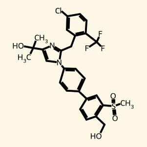 CC(C)(O)c1cn(-c2ccc(-c3ccc(CO)c(S(C)(=O)=O)c3)cc2)c(Cc2cc(Cl)ccc2C(F)(F)F)n1